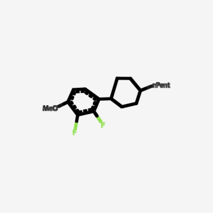 CCCCCC1CCC(c2ccc(OC)c(F)c2F)CC1